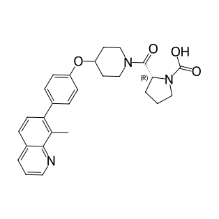 Cc1c(-c2ccc(OC3CCN(C(=O)[C@H]4CCCN4C(=O)O)CC3)cc2)ccc2cccnc12